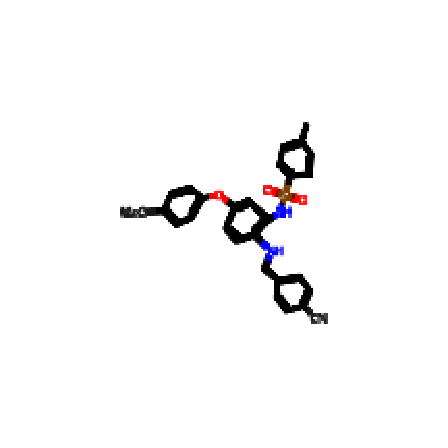 COc1ccc(Oc2ccc(NCc3ccc(C#N)cc3)c(NS(=O)(=O)c3ccc(C)cc3)c2)cc1